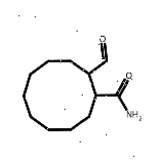 NC(=O)C1CCCCCCCCC1C=O